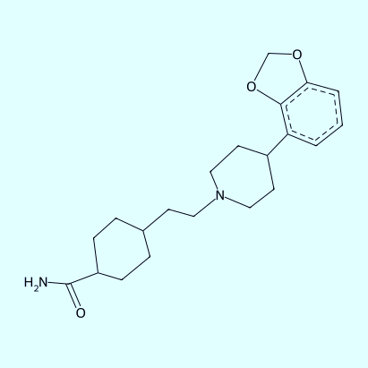 NC(=O)C1CCC(CCN2CCC(c3cccc4c3OCO4)CC2)CC1